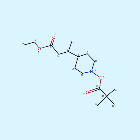 CCOC(=O)CC(C)C1CCN(OC(=O)C(C)(C)C)CC1